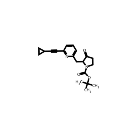 CC(C)(C)OC(=O)N1CCC(=O)C1Cc1cccc(C#CC2CC2)n1